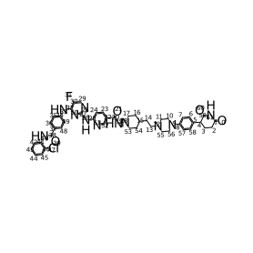 O=C1CCC(c2ccc(N3CCN(CCC4CCN(NC(=O)c5ccc(Nc6ncc(F)c(Nc7ccc(C(=O)Nc8ccccc8Cl)cc7)n6)nc5)CC4)CC3)cc2)C(=O)N1